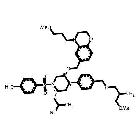 COCCCN1CCOc2ccc(CO[C@H]3CN(S(=O)(=O)c4ccc(C)cc4)[C@@H](CC(C)C#N)C[C@@H]3c3ccc(COCC(C)COC)cc3)cc21